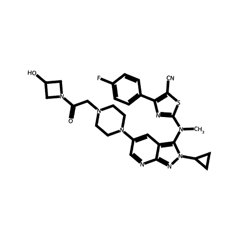 CN(c1nc(-c2ccc(F)cc2)c(C#N)s1)c1c2cc(N3CCN(CC(=O)N4CC(O)C4)CC3)cnc2nn1C1CC1